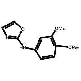 COc1ccc(Nc2ncco2)cc1OC